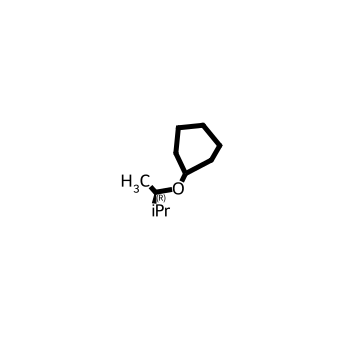 CC(C)[C@@H](C)OC1CCCCC1